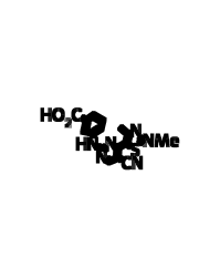 CNc1nc(C)c(-c2nc(Nc3cccc(C(=O)O)c3)ncc2C#N)s1